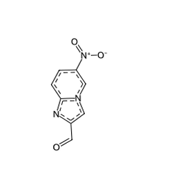 O=Cc1cn2cc([N+](=O)[O-])ccc2n1